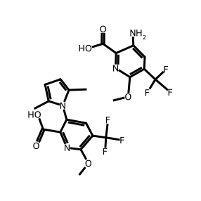 COc1nc(C(=O)O)c(-n2c(C)ccc2C)cc1C(F)(F)F.COc1nc(C(=O)O)c(N)cc1C(F)(F)F